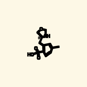 Cc1ccc(S(=O)(=O)O)c(C[C@H]2COCN2)c1